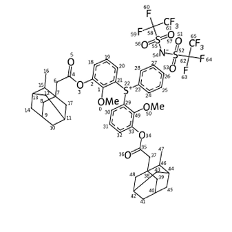 COc1c(OC(=O)CC23CC4CC(CC(C4)C2C)C3)cccc1[S+](c1ccccc1)c1cccc(OC(=O)CC23CC4CC(CC(C4)C2C)C3)c1OC.O=S(=O)([N-]S(=O)(=O)C(F)(F)C(F)(F)F)C(F)(F)C(F)(F)F